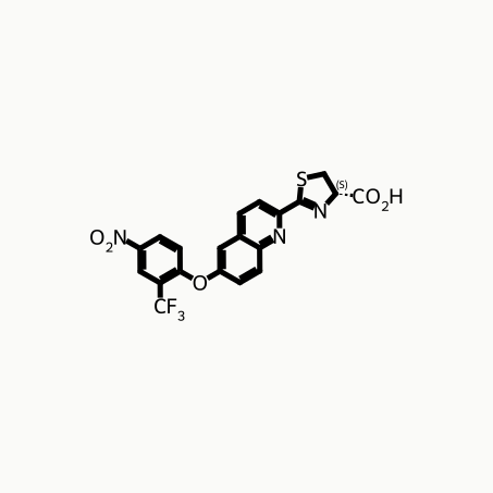 O=C(O)[C@H]1CSC(c2ccc3cc(Oc4ccc([N+](=O)[O-])cc4C(F)(F)F)ccc3n2)=N1